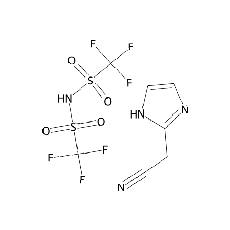 N#CCc1ncc[nH]1.O=S(=O)(NS(=O)(=O)C(F)(F)F)C(F)(F)F